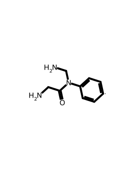 NCC(=O)N(CN)c1cc[c]cc1